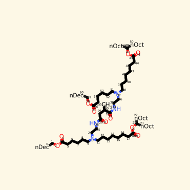 CCCCCCCCCCCOC(=O)CCCCCN(CCCCCCCC(=O)OC(CCCCCCCC)CCCCCCCC)CCNC(=O)CC(C)C(=O)NCCN(CCCCCCCC(=O)OC(CCCCCCCC)CCCCCCCC)CCCCCC(=O)OCCCCCCCCCCC